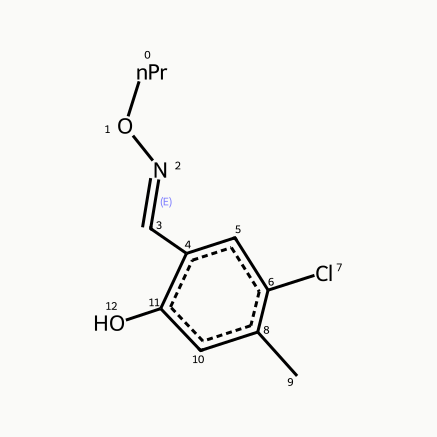 CCCO/N=C/c1cc(Cl)c(C)cc1O